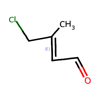 C/C(=C\C=O)CCl